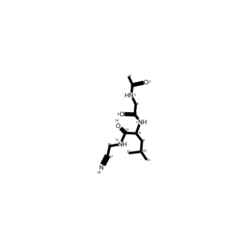 CC(=O)NCC(=O)NC(CC(C)C)C(=O)NCC#N